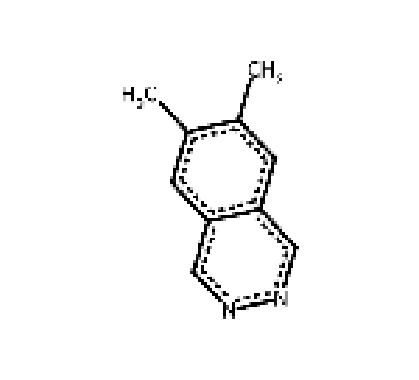 Cc1cc2cnncc2cc1C